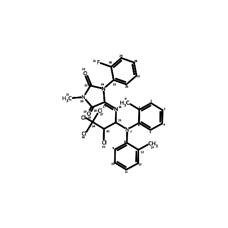 Cc1ccccc1N(c1ccccc1C)C(N=C1C(=O)N(C)C(=O)N1c1ccccc1F)C(Cl)C(Cl)(Cl)Cl